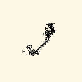 COC(=O)CC[C@@H](C(N)=O)N1Cc2c(CCCCCCCCCCN3CCC(COc4cc5ncnc(Nc6n[nH]c(C)c6C)c5cc4S(=O)(=O)C(C)(C)C)CC3)cccc2C1=O